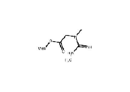 CNOC(=O)CN(C)C(=N)N.O